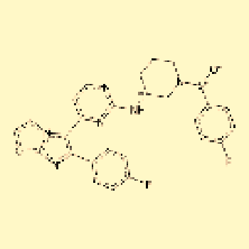 [O-][S+](c1ccc(F)cc1)N1CCC[C@@H](Nc2nccc(-c3c(-c4ccc(F)cc4)nc4occn34)n2)C1